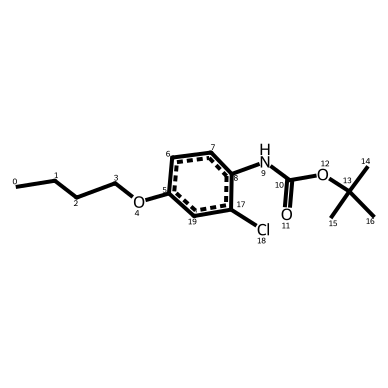 CCCCOc1ccc(NC(=O)OC(C)(C)C)c(Cl)c1